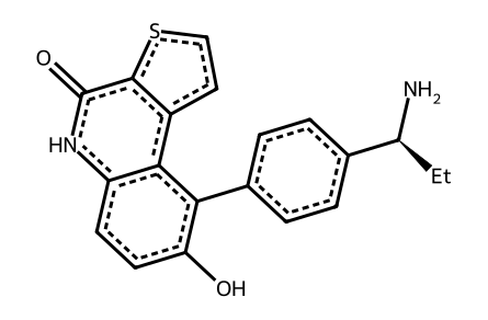 CC[C@H](N)c1ccc(-c2c(O)ccc3[nH]c(=O)c4sccc4c23)cc1